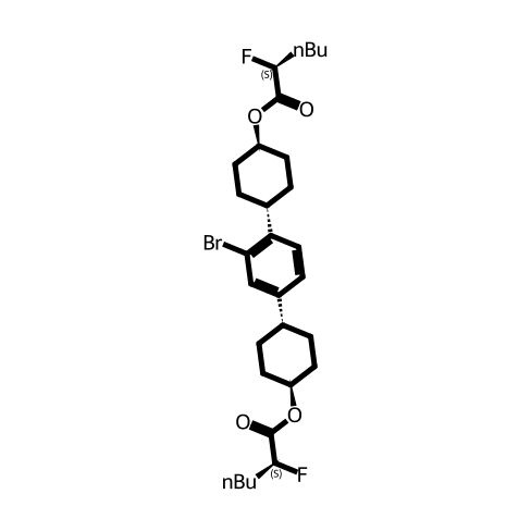 CCCC[C@H](F)C(=O)O[C@H]1CC[C@H](c2ccc([C@H]3CC[C@H](OC(=O)[C@@H](F)CCCC)CC3)c(Br)c2)CC1